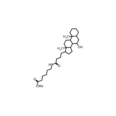 COC(=O)CCCCCNC(=O)CCCC1CCC2C3C(O)CC4CCCCC4(C)C3CCC12C